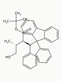 C[C@@H](CO)[C@@H](C(=O)OC(C)(C)C)N(c1ccccc1)C1(c2ccccc2)c2ccccc2-c2ccccc21